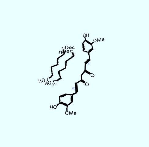 CCCCCCCCCCCCCCCC(=O)O.CCCCCCCCCCCCCCCC(=O)O.COc1cc(/C=C/C(=O)CC(=O)/C=C/c2ccc(O)c(OC)c2)ccc1O